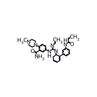 C=C/N=C(\N=C1/CC=CC=C1c1cccc(NC(=O)C=C)c1)Nc1ccc(N2CCN(C)CC2)c(C(N)=O)c1